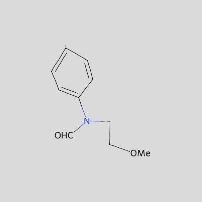 COCCN(C=O)c1cc[c]cc1